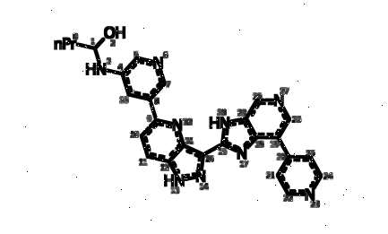 CCCC(O)Nc1cncc(-c2ccc3[nH]nc(-c4nc5c(-c6ccncc6)cncc5[nH]4)c3n2)c1